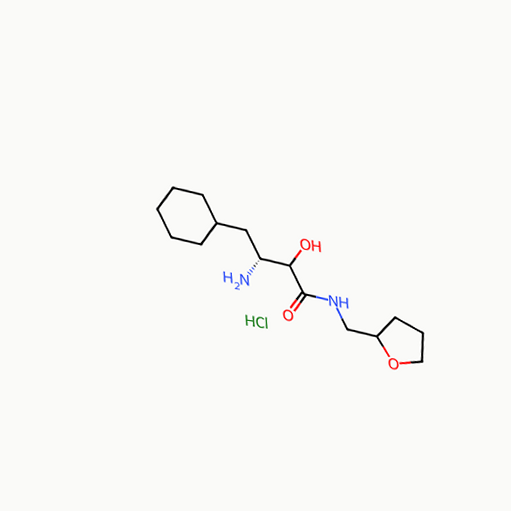 Cl.N[C@H](CC1CCCCC1)C(O)C(=O)NCC1CCCO1